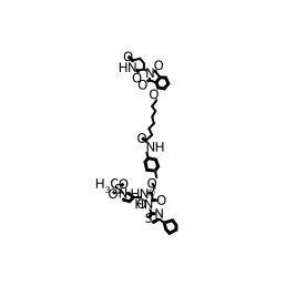 CS(=O)(=O)n1ccc(C(=O)N[C@@H](COCc2ccc(CNC(=O)CCCCCCCOc3cccc4c3C(=O)N(C3CCC(=O)NC3=O)C4=O)cc2)C(=O)Nc2nc(-c3ccccc3)cs2)c1